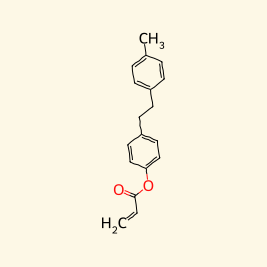 C=CC(=O)Oc1ccc(CCc2ccc(C)cc2)cc1